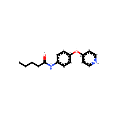 CCCCC(=O)Nc1ccc(Oc2ccncc2)cc1